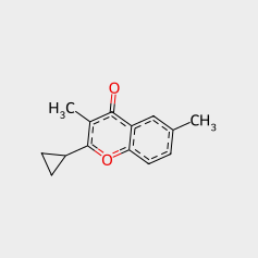 Cc1ccc2oc(C3CC3)c(C)c(=O)c2c1